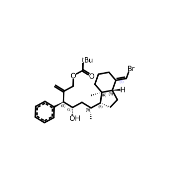 C=C(COC(=O)C(C)(C)C)[C@H](c1ccccc1)[C@@H](O)C[C@@H](C)[C@H]1CC[C@H]2/C(=C/Br)CCC[C@]12C